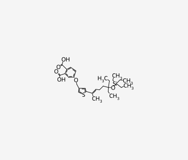 CCC(CC)(CCC=C(C)c1cc(COc2ccc(C(=O)O)c(C(=O)O)c2)cs1)O[Si](CC)(CC)CC